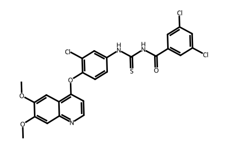 COc1cc2nccc(Oc3ccc(NC(=S)NC(=O)c4cc(Cl)cc(Cl)c4)cc3Cl)c2cc1OC